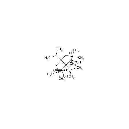 CC(C)C(CC(C)(C)C)(CC(C)(C)C)C(C(=O)O)(C(=O)O)C(C)C